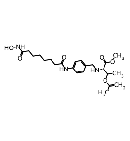 C=C(C)OC(C)[C@H](NCc1ccc(NC(=O)CCCCCCC(=O)NO)cc1)C(=O)OC